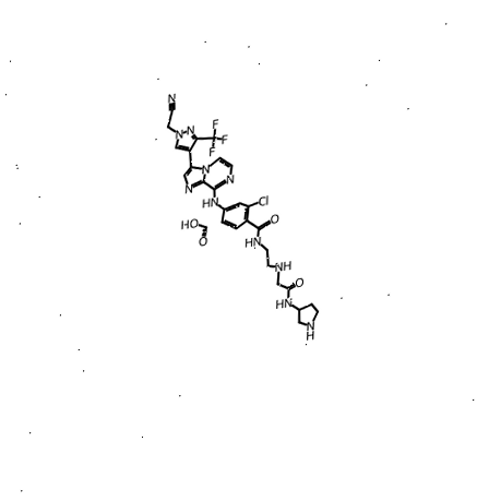 N#CCn1cc(-c2cnc3c(Nc4ccc(C(=O)NCCNCC(=O)NC5CCNC5)c(Cl)c4)nccn23)c(C(F)(F)F)n1.O=CO